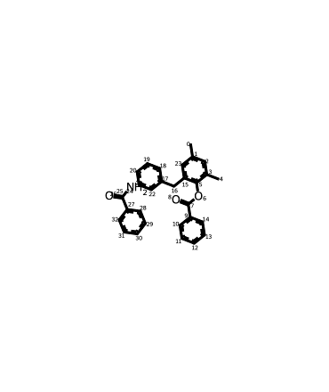 Cc1cc(C)c(OC(=O)c2ccccc2)c(Cc2ccccc2)c1.NC(=O)c1ccccc1